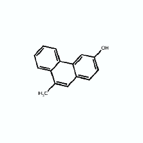 Cc1cc2ccc(O)cc2c2ccccc12